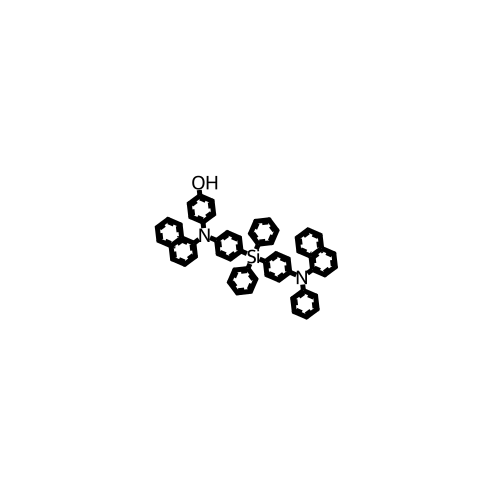 Oc1ccc(N(c2ccc([Si](c3ccccc3)(c3ccccc3)c3ccc(N(c4ccccc4)c4cccc5ccccc45)cc3)cc2)c2cccc3ccccc23)cc1